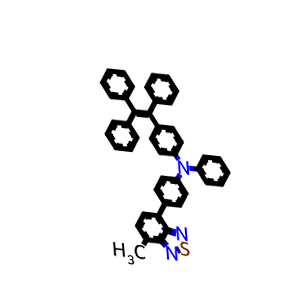 Cc1ccc(-c2ccc(N(c3ccccc3)c3ccc(C(=C(c4ccccc4)c4ccccc4)c4ccccc4)cc3)cc2)c2nsnc12